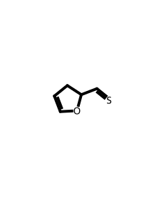 S=CC1CC=CO1